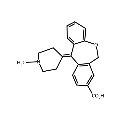 CN1CCC(=C2c3ccc(C(=O)O)cc3COc3ccccc32)CC1